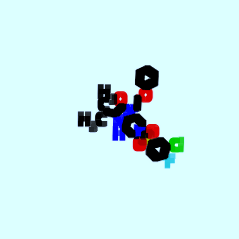 CC(C)C1NC2(CCN(S(=O)(=O)c3ccc(F)c(Cl)c3)CC2)N(CCOc2ccccc2)C1=O